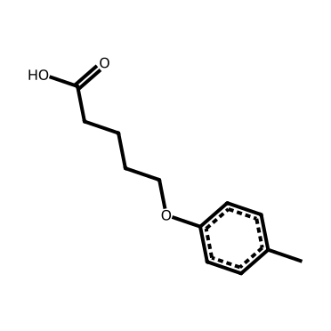 Cc1ccc(OCCCCC(=O)O)cc1